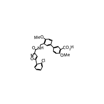 COc1ccc(-c2ccc(OC)c(C(=O)O)c2)cc1CNC(=O)c1cc(-c2ccccc2Cl)on1